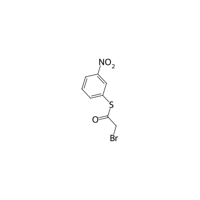 O=C(CBr)Sc1cccc([N+](=O)[O-])c1